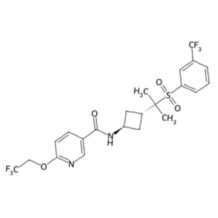 CC(C)([C@H]1C[C@H](NC(=O)c2ccc(OCC(F)(F)F)nc2)C1)S(=O)(=O)c1cccc(C(F)(F)F)c1